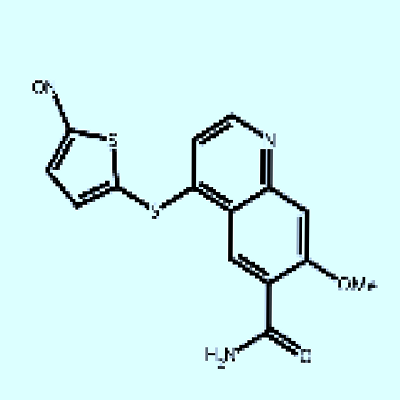 COc1cc2nccc(Sc3ccc(N=O)s3)c2cc1C(N)=O